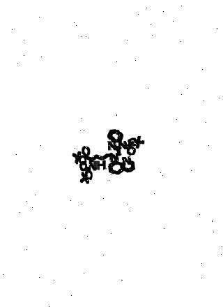 CC(C)(C)OC(=O)NC(CCCN(Cc1nc2ccccc2n1C(=O)OC(C)(C)C)C1CCCc2cccnc21)C(=O)OC(C)(C)C